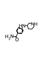 NC(=O)c1ccc(NC2CCCNC2)cc1